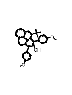 COc1ccc(-c2c(O)c(-c3ccc(OC)cc3)c3c(C(C)(C)C)cc4cccc5ccc2c3c54)cc1